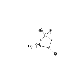 CCCC[N+]1(CC)CCC(CC)C1.O.O